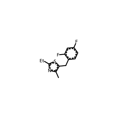 CCc1nc(C)c(Cc2ccc(F)cc2F)s1